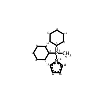 C[PH](C1CCCCC1)(C1CCCCC1)n1cccc1